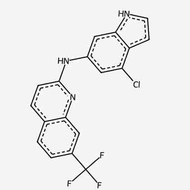 FC(F)(F)c1ccc2ccc(Nc3cc(Cl)c4cc[nH]c4c3)nc2c1